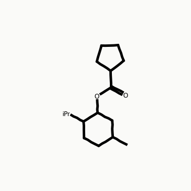 CC1CCC(C(C)C)C(OC(=O)C2CCCC2)C1